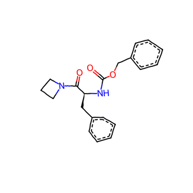 O=C(N[C@@H](Cc1ccccc1)C(=O)N1CCC1)OCc1ccccc1